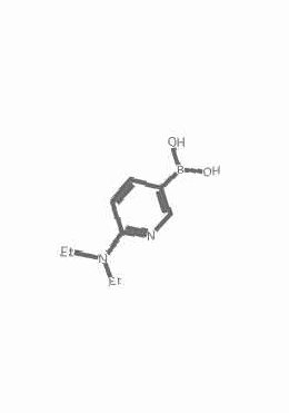 CCN(CC)c1ccc(B(O)O)cn1